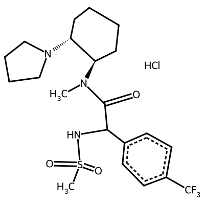 CN(C(=O)C(NS(C)(=O)=O)c1ccc(C(F)(F)F)cc1)[C@@H]1CCCC[C@H]1N1CCCC1.Cl